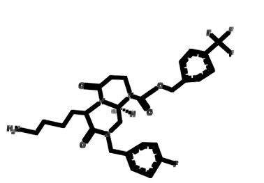 NCCCCC1C(=O)N(Cc2ccc(F)cc2)C[C@@H]2N(C(=O)OCc3ccc(C(F)(F)F)cc3)CCC(=O)N12